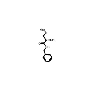 CC(C)(C)OC[C@@H](N)C(=O)NCc1ccccc1